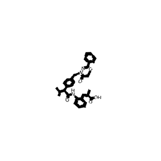 CC(=Cc1ccccc1NC(=O)C(c1ccc(CN2N=C(c3ccccc3)OCC2=O)cc1)C(C)C)C(=O)O